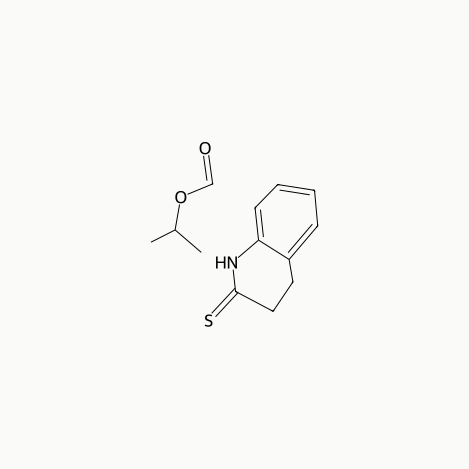 CC(C)OC=O.S=C1CCc2ccccc2N1